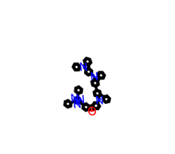 c1ccc(-c2nc(-c3ccccc3)nc(-c3ccc4oc5ccc(-n6c7ccccc7c7cc(-c8ccc9c(c8)c8ccccc8n9-c8ccc9c(c8)c8ccccc8n9-c8ccccc8)ccc76)cc5c4c3)n2)cc1